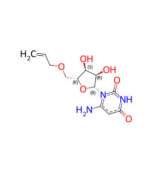 C=CCOC[C@H]1O[C@@H](n2c(N)cc(=O)[nH]c2=O)[C@H](O)[C@@H]1O